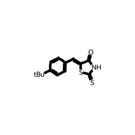 CC(C)(C)c1ccc(/C=C2\SC(=S)NC2=O)cc1